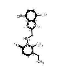 CCc1ccc(=O)n(NCc2nc3c(Cl)ccc(Cl)c3o2)c1C